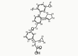 COc1ccc(F)c(-c2ccc(COc3cccc([C@H](CC(=O)O)C4CC4)c3)cc2C2=CCCC2)c1